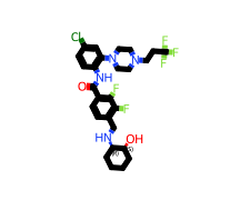 O=C(Nc1ccc(Cl)cc1N1CCN(CCC(F)(F)F)CC1)c1ccc(CN[C@@H]2CCCC[C@@H]2O)c(F)c1F